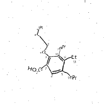 CCCc1cc(C(=O)O)c(OCCC(C)C)c(CCC)c1CC